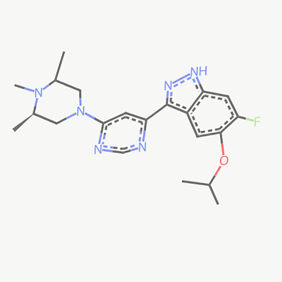 CC(C)Oc1cc2c(-c3cc(N4CC(C)N(C)[C@H](C)C4)ncn3)n[nH]c2cc1F